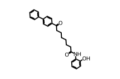 O=C(CCCCCCC(=O)c1ccc(-c2ccccc2)cc1)Nc1ccccc1O